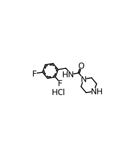 Cl.O=C(NCc1ccc(F)cc1F)N1CCNCC1